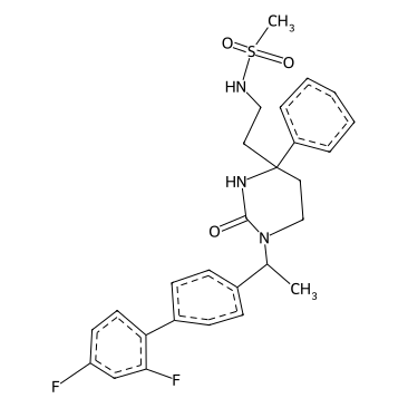 CC(c1ccc(-c2ccc(F)cc2F)cc1)N1CCC(CCNS(C)(=O)=O)(c2ccccc2)NC1=O